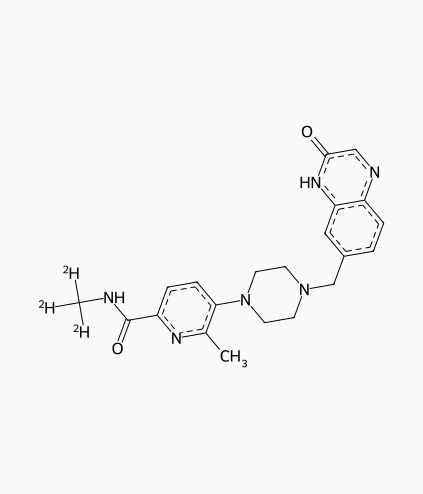 [2H]C([2H])([2H])NC(=O)c1ccc(N2CCN(Cc3ccc4ncc(=O)[nH]c4c3)CC2)c(C)n1